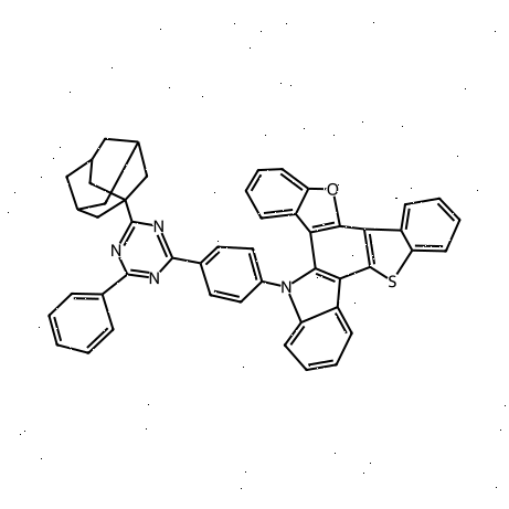 c1ccc(-c2nc(-c3ccc(-n4c5ccccc5c5c6sc7ccccc7c6c6oc7ccccc7c6c54)cc3)nc(C34CC5CC(CC(C5)C3)C4)n2)cc1